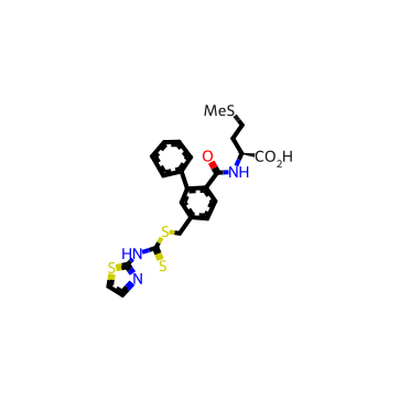 CSCC[C@H](NC(=O)c1ccc(CSC(=S)Nc2nccs2)cc1-c1ccccc1)C(=O)O